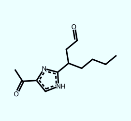 CCCCC(CC=O)c1nc(C(C)=O)c[nH]1